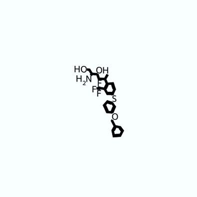 CC(CC(O)C(N)CO)c1ccc(Sc2cccc(OCc3ccccc3)c2)cc1C(F)(F)F